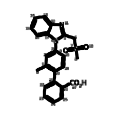 Cc1cc(-n2c(CS(C)(=O)=O)nc3ccccc32)ccc1-c1ccccc1C(=O)O